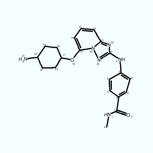 CNC(=O)c1ccc(Nc2nc3cccc(OC4CCC(N)CC4)n3n2)cc1